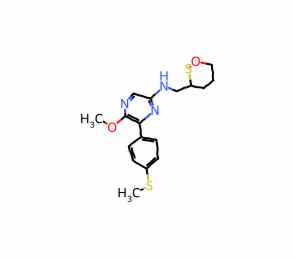 COc1ncc(NCC2CCCOS2)nc1-c1ccc(SC)cc1